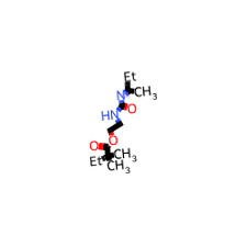 CC/C(C)=N/C(=O)NCCOC(=O)C(C)(C)CC